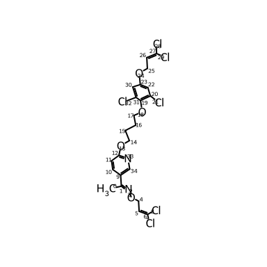 CC(=NOCC=C(Cl)Cl)c1ccc(OCCCCOc2c(Cl)cc(OCC=C(Cl)Cl)cc2Cl)nc1